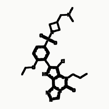 CCCn1c(=O)n2cnnc2c2[nH]c(-c3cc(S(=O)(=O)N4CC(CN(C)C)C4)ccc3OCC)c(Cl)c21